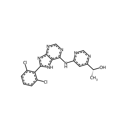 C[C@@H](O)c1cc(Nc2ncnc3nc(-c4c(Cl)cccc4Cl)[nH]c23)ncn1